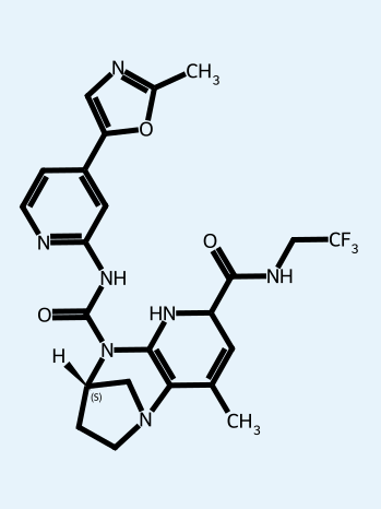 CC1=CC(C(=O)NCC(F)(F)F)NC2=C1N1CC[C@@H](C1)N2C(=O)Nc1cc(-c2cnc(C)o2)ccn1